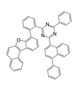 c1ccc(-c2nc(-c3ccccc3-c3cccc4c3oc3ccc5ccccc5c34)nc(-c3ccc(-c4ccccc4)c4ccccc34)n2)cc1